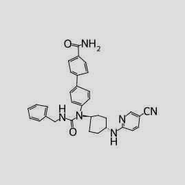 N#Cc1ccc(N[C@H]2CC[C@H](N(C(=O)NCc3ccccc3)c3ccc(-c4ccc(C(N)=O)cc4)cc3)CC2)nc1